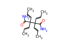 CC=CC(C=CC)(C(N)=O)C(C=CC)(C=CC)C(N)=O